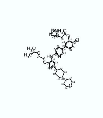 CC(C)OCCOc1nn(C2CCC(N3CCOCC3)CC2)cc1Nc1ncc(-c2ccc(Cl)c(O[C@@H](C)Cn3cnnn3)c2)cn1